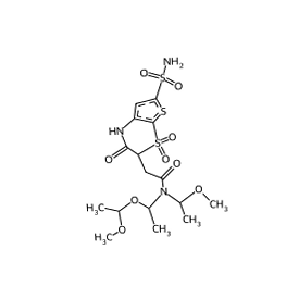 COC(C)OC(C)N(C(=O)CC1C(=O)Nc2cc(S(N)(=O)=O)sc2S1(=O)=O)C(C)OC